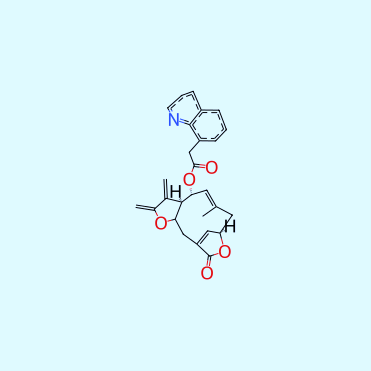 C=C1OC2CC3=C[C@@H](C/C(C)=C/[C@@H](OC(=O)Cc4cccc5cccnc45)[C@@H]2C1=C)OC3=O